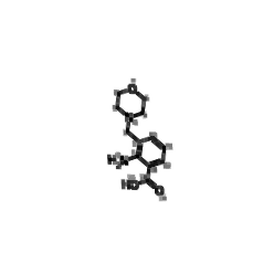 Nc1c(CN2CCOCC2)cccc1C(=O)O